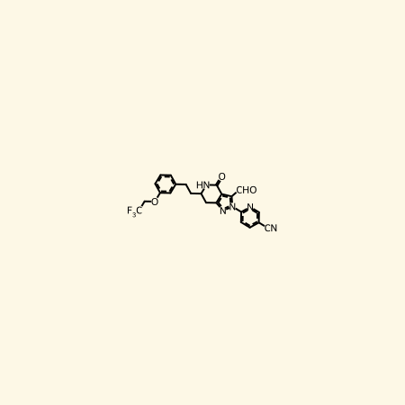 N#Cc1ccc(-n2nc3c(c2C=O)C(=O)NC(CCc2cccc(OCC(F)(F)F)c2)C3)nc1